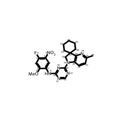 COc1cc(F)c([N+](=O)[O-])cc1Nc1ncnc(N2CC3(CCCCC3)c3nc(C)ccc32)n1